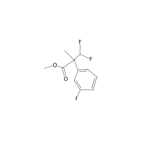 COC(=O)C(C)(c1cccc(I)c1)C(F)F